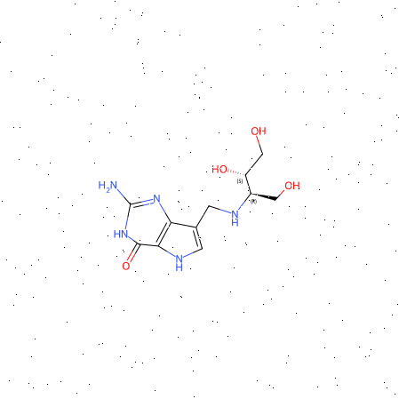 Nc1nc2c(CN[C@H](CO)[C@H](O)CO)c[nH]c2c(=O)[nH]1